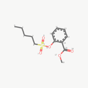 CCCCCS(=O)(=O)Oc1ccccc1C(=O)OC